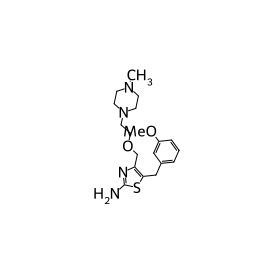 COc1cccc(Cc2sc(N)nc2COCCN2CCN(C)CC2)c1